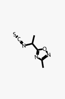 Cc1noc(C(C)N=C=S)n1